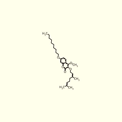 CCCCCCCCCCOc1ccc2c(OC)c(OCC=C(C)CCC=C(C)C)c(=O)oc2c1